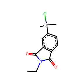 CCN1C(=O)c2ccc([Si](C)(C)Cl)cc2C1=O